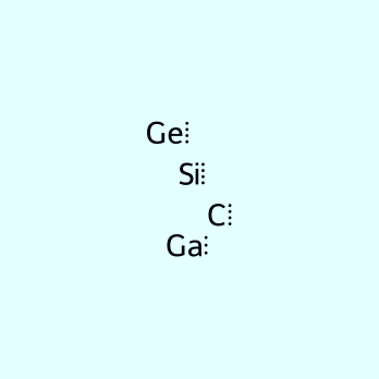 [C].[Ga].[Ge].[Si]